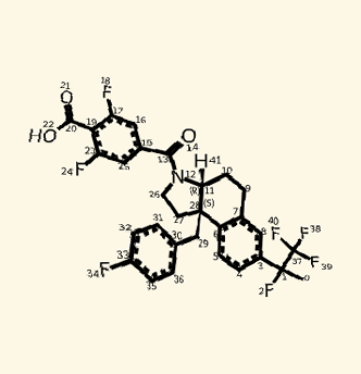 CC(F)(c1ccc2c(c1)CC[C@H]1N(C(=O)c3cc(F)c(C(=O)O)c(F)c3)CC[C@@]21Cc1ccc(F)cc1)C(F)(F)F